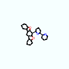 c1ccc(-c2cccc(-c3c4oc5ccccc5c4cc4c3oc3ccccc34)n2)nc1